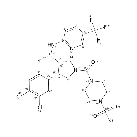 C[C@H](Nc1ccc(C(F)(F)F)cn1)[C@@H]1CN(C(=O)N2CCN(S(C)(=O)=O)CC2)C[C@@H]1c1ccc(Cl)c(Cl)c1